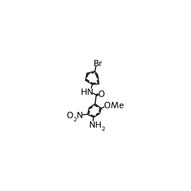 COc1cc(N)c([N+](=O)[O-])cc1C(=O)Nc1ccc(Br)cc1